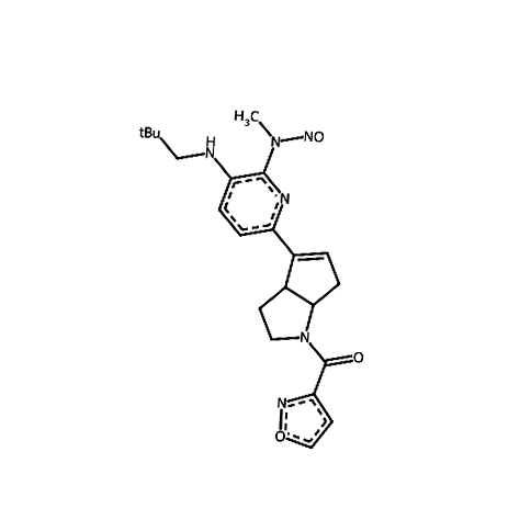 CN(N=O)c1nc(C2=CCC3C2CCN3C(=O)c2ccon2)ccc1NCC(C)(C)C